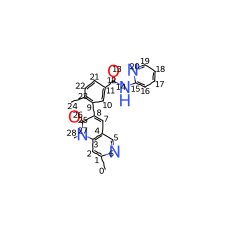 Cc1cc2c(cn1)cc(-c1cc(C(=O)Nc3ccccn3)ccc1C)c(=O)n2C